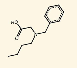 CCCCN(CC(=O)O)Cc1ccccc1